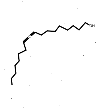 CCCCCCCC=C=CCCCCCCCCO